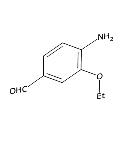 CCOc1cc(C=O)ccc1N